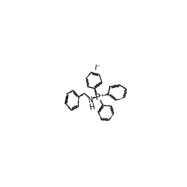 [I-].c1ccc(CN[P+](c2ccccc2)(c2ccccc2)c2ccccc2)cc1